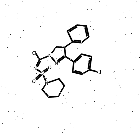 O=S(=O)(/N=C(/Cl)N1CC(c2ccccc2)C(c2ccc(Cl)cc2)=N1)N1CCCCC1